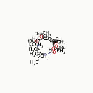 C=CC=C[C@H](C)[C@@H]1C[C@H](C)/C=C/[C@H](O[Si](C)(C)C(C)(C)C)[C@H](C)[C@@H](O[Si](C)(C)C(C)(C)C)CCCC[C@@H](C)[C@H](O[Si](C)(C)C(C)(C)C)[C@H](O[Si](C)(C)C(C)(C)C)OC(=O)/C=C/C=C/[C@H]1C